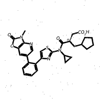 Cn1c(=O)oc2cc(-c3ccccc3-c3csc(N(C(=O)[C@@H](CC(=O)O)CC4CCCC4)C4CC4)n3)cnc21